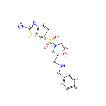 CC(C)CN(C[C@H](O)CNCc1ccccc1)S(=O)(=O)c1ccc2nc(N)sc2c1